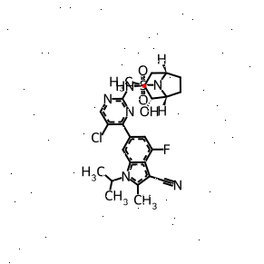 Cc1c(C#N)c2c(F)cc(-c3nc(N[C@H]4C[C@@H]5CC[C@H]([C@@H]4O)N5S(C)(=O)=O)ncc3Cl)cc2n1C(C)C